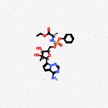 CCOC(=O)[C@H](C)N[P@](=O)(OC[C@H]1O[C@@H](c2ccc3c(N)ncnn23)[C@](C)(O)[C@@H]1O)Oc1ccccc1